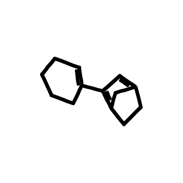 C1=C2CCC(=C1C1=CCCCC1)C2